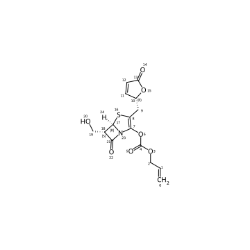 C=CCOC(=O)OC1=C(C[C@@H]2C=CC(=O)O2)S[C@@H]2[C@@H](CO)C(=O)N12